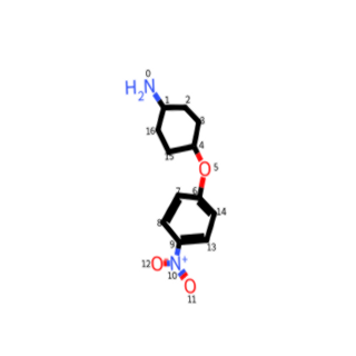 NC1CCC(Oc2ccc([N+](=O)[O-])cc2)CC1